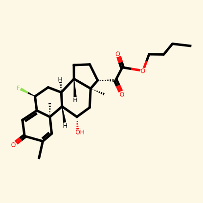 CCCCOC(=O)C(=O)[C@H]1CC[C@H]2[C@@H]3C[C@H](F)C4=CC(=O)C(C)=C[C@]4(C)[C@H]3[C@@H](O)C[C@]12C